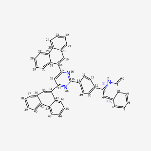 C=C/N=C(\C=C1\C=CC=CC1)c1ccc(-c2nc(-c3cc4ccccc4c4ccccc34)cc(-c3cc4ccccc4c4ccccc34)n2)cc1